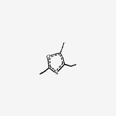 [CH2]c1oc(C)nc1C